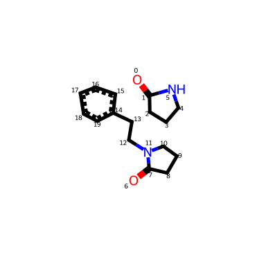 O=C1CCCN1.O=C1CCCN1CCc1ccccc1